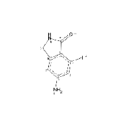 Nc1cc(I)c2c(c1)CNC2=O